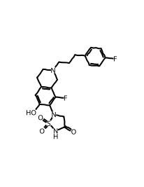 O=C1CN(c2c(O)cc3c(c2F)CN(CCCc2ccc(F)cc2)CC3)S(=O)(=O)N1